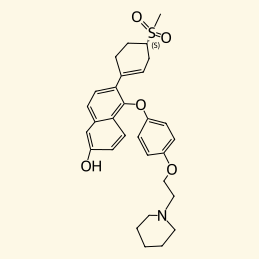 CS(=O)(=O)[C@@H]1CC=C(c2ccc3cc(O)ccc3c2Oc2ccc(OCCN3CCCCC3)cc2)CC1